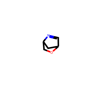 C1=NC2COC1C2